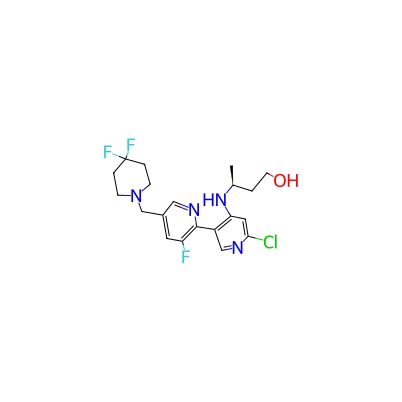 C[C@@H](CCO)Nc1cc(Cl)ncc1-c1ncc(CN2CCC(F)(F)CC2)cc1F